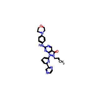 C=CCn1c(=O)c2cnc(Nc3ccc(N4CCOCC4)cc3)nc2n1-c1cccc(-c2cnccn2)n1